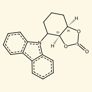 O=S1O[C@@H]2CCCC(n3c4ccccc4c4ccccc43)[C@@H]2O1